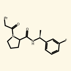 CC(C)CC(=O)N1CCCC1C(=O)N[C@@H](C)c1cccc(F)c1